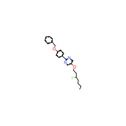 CCCCC(F)CCOc1cnc(-c2ccc(OCc3ccccc3)cc2)nc1